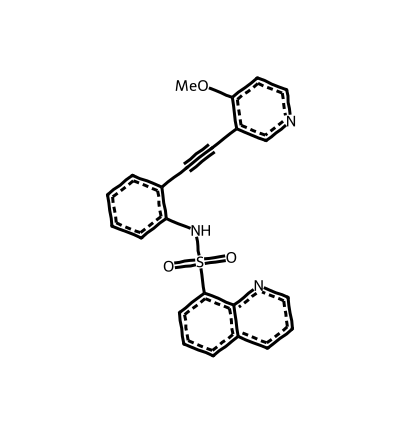 COc1ccncc1C#Cc1ccccc1NS(=O)(=O)c1cccc2cccnc12